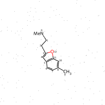 CNCCc1cc2ccc(C)cc2o1